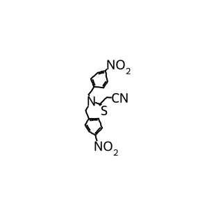 N#CCC(=S)N(Cc1ccc([N+](=O)[O-])cc1)Cc1ccc([N+](=O)[O-])cc1